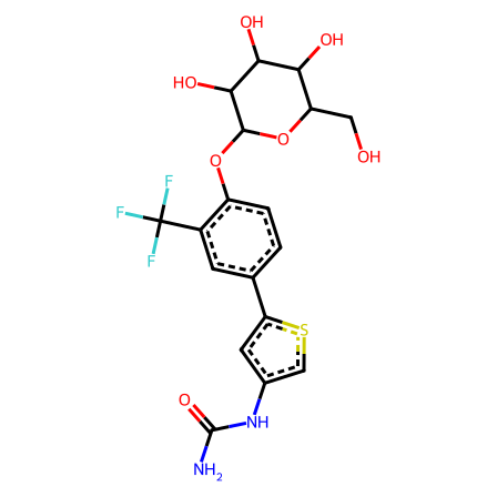 NC(=O)Nc1csc(-c2ccc(OC3OC(CO)C(O)C(O)C3O)c(C(F)(F)F)c2)c1